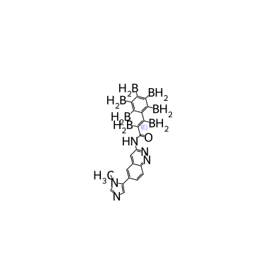 B/C(C(=O)Nc1cc2cc(-c3cncn3C)ccc2nn1)=C(/B)c1c(B)c(B)c(B)c(B)c1B